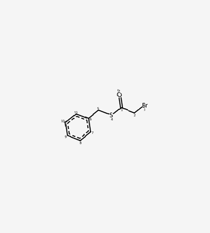 O=C(CBr)SCc1ccccc1